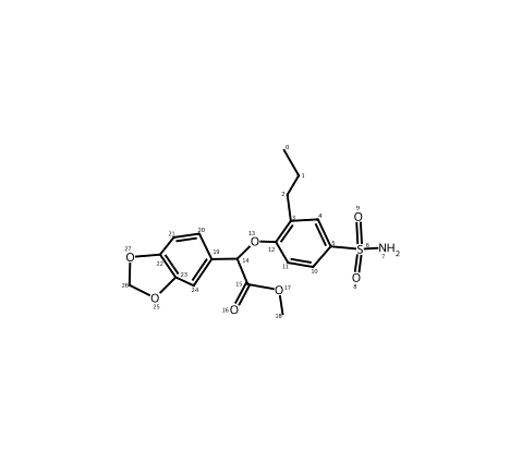 CCCc1cc(S(N)(=O)=O)ccc1OC(C(=O)OC)c1ccc2c(c1)OCO2